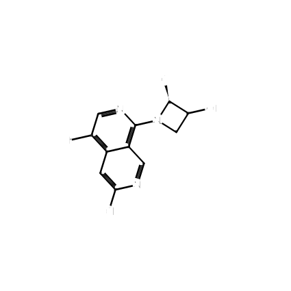 C[C@H]1C(O)CN1c1ncc(I)c2cc(Cl)ncc12